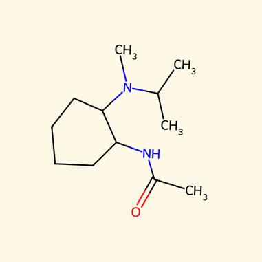 CC(=O)NC1CCCCC1N(C)C(C)C